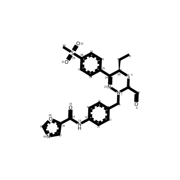 CC[C@H]1SC(C=O)N(Cc2ccc(NC(=O)c3cnco3)cc2)N=C1c1ccc(S(C)(=O)=O)cc1